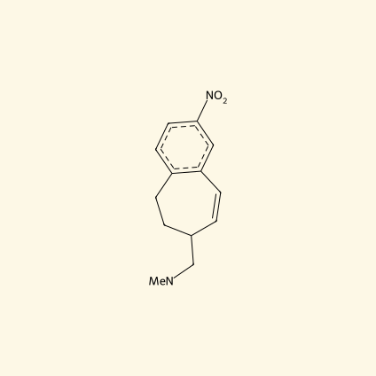 CNCC1C=Cc2cc([N+](=O)[O-])ccc2CC1